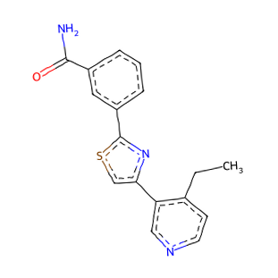 CCc1ccncc1-c1csc(-c2cccc(C(N)=O)c2)n1